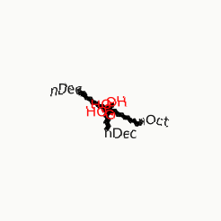 CCCCCCCC/C=C\CCCCCCCC(=O)C(O)(CO)C(O)(CCCCCCCCCCCCCCCC)CCCCCCCCCCCCCCCCCC